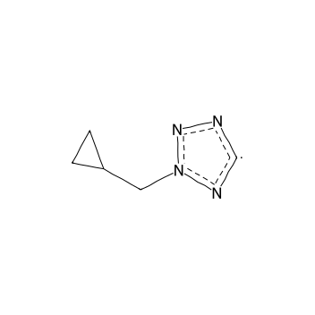 [c]1nnn(CC2CC2)n1